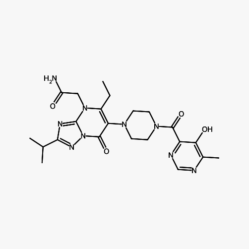 CCc1c(N2CCN(C(=O)c3ncnc(C)c3O)CC2)c(=O)n2nc(C(C)C)nc2n1CC(N)=O